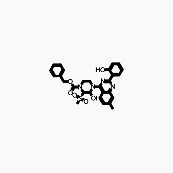 Cc1ccc2c(N3CCN(C(=O)OCc4ccccc4)C(S(C)(=O)=O)C3O)nc(-c3ccccc3O)nc2c1